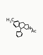 CC(=O)CN1CC2Cc3cc(C)ccc3C(c3ccccc3)C2C1